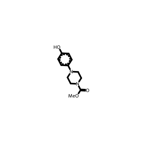 COC(=O)N1CCN(c2ccc(O)cc2)CC1